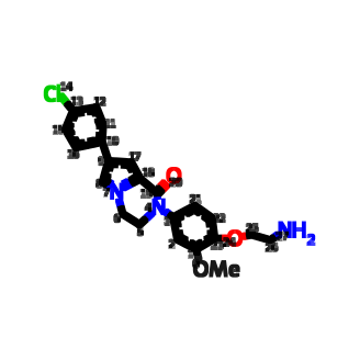 COc1cc(N2CCn3cc(-c4ccc(Cl)cc4)cc3C2=O)ccc1OCCN